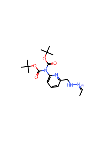 C/C=N\NCc1cccc(N(C(=O)OC(C)(C)C)C(=O)OC(C)(C)C)n1